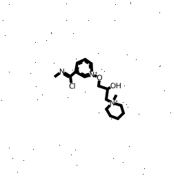 CN=C(Cl)c1ccc[n+](OCC(O)C[N+]2(C)CCCCC2)c1